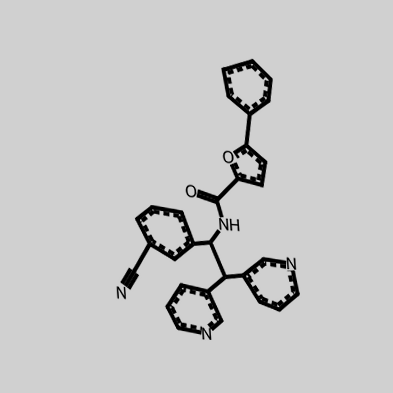 N#Cc1cccc(C(NC(=O)c2ccc(-c3ccccc3)o2)C(c2cccnc2)c2cccnc2)c1